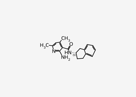 Cc1cc(C)c(C(=O)N[C@H]2CCc3ccccc3C2)c(N)n1